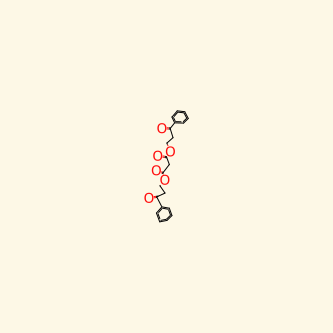 O=C(CC(=O)OCCC(=O)c1ccccc1)OCCC(=O)c1ccccc1